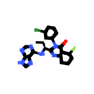 CC[C@@H](Nc1ncnc2[nH]cnc12)c1nc2cccc(F)c2c(=O)n1-c1cccc(Cl)c1